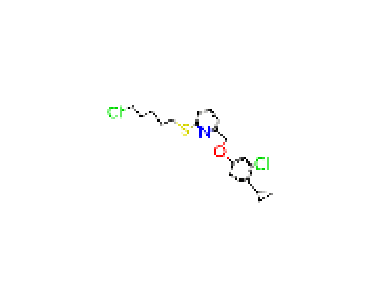 ClCCCCCSc1cccc(COc2ccc(C3CC3)c(Cl)c2)n1